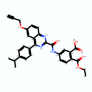 C#CCOc1ccc2nc(C(=O)Nc3ccc(C(=O)OCC)c(C(=O)O)c3)nc(-c3ccc(C(C)C)cc3)c2c1